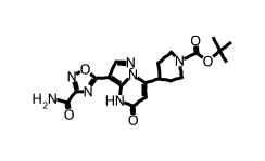 CC(C)(C)OC(=O)N1CCC(c2cc(=O)[nH]c3c(-c4nc(C(N)=O)no4)cnn23)CC1